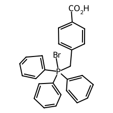 O=C(O)c1ccc(CP(Br)(c2ccccc2)(c2ccccc2)c2ccccc2)cc1